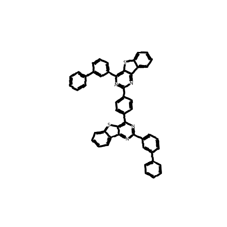 c1ccc(-c2cccc(-c3nc(-c4ccc(-c5nc(-c6cccc(-c7ccccc7)c6)c6sc7ccccc7c6n5)cc4)c4sc5ccccc5c4n3)c2)cc1